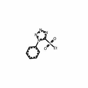 CCS(=O)(=O)c1nnnn1-c1ccccc1